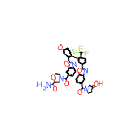 COc1ccc(-c2cc(-c3nc4cc(C(=O)N5CC[C@H](O)C5)ccc4o3)ccc2C(F)(F)F)c(-c2nc3ccc(C(=O)N4CCOC(C(N)=O)C4)cc3o2)c1